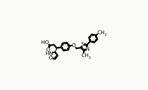 Cc1ccc(-c2nc(C)c(COc3ccc(C(CC(=O)O)[C@H]4C=CON4)cc3)s2)cc1